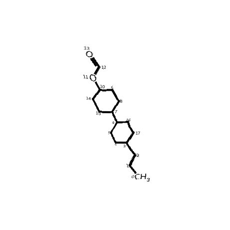 CCCC1CCC(C2CCC(OC=O)CC2)CC1